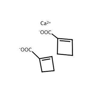 O=C([O-])C1=CCC1.O=C([O-])C1=CCC1.[Ca+2]